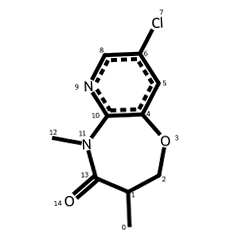 CC1COc2cc(Cl)cnc2N(C)C1=O